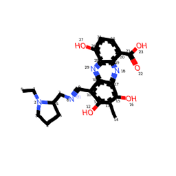 CCN1CCCC1C/N=C/c1c(O)c(C)c(O)c2nc3c(C(=O)O)ccc(O)c3nc12